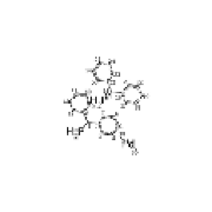 PC(c1ccccc1)c1ccccc1.PC(c1ccccc1)c1ccccc1.[CH3][Pd][CH3]